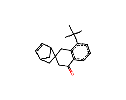 CC(C)(C)c1cccc2c1CC1(CC2=O)CC2C=CC1C2